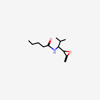 C=C1OC1C(NC(=O)CCCC)C(C)C